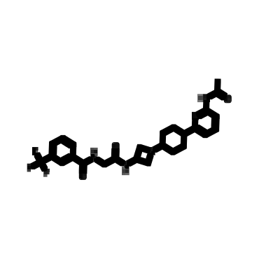 CC(=O)Nc1cccc(C2CCC(N3CC(NC(=O)CNC(=O)c4cccc(C(F)(F)F)c4)C3)CC2)n1